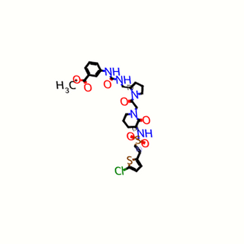 COC(=O)c1cccc(NC(=O)NC[C@H]2CCCN2C(=O)CN2CCC[C@H](NS(=O)(=O)/C=C/c3ccc(Cl)s3)C2=O)c1